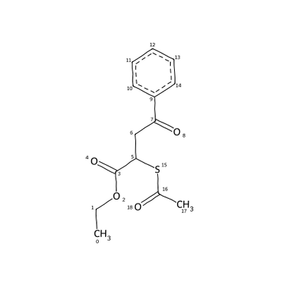 CCOC(=O)C(CC(=O)c1ccccc1)SC(C)=O